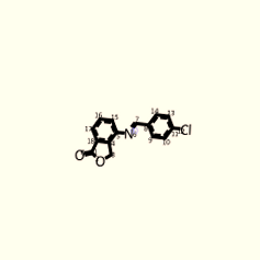 O=C1OCc2c(/N=C/c3ccc(Cl)cc3)cccc21